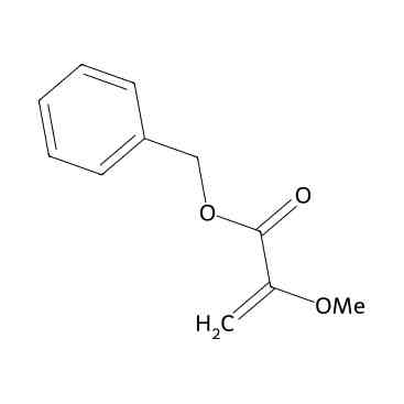 C=C(OC)C(=O)OCc1ccccc1